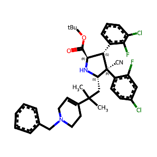 CC(C)(C)OC(=O)[C@@H]1N[C@@H](CC(C)(C)C2=CCN(Cc3ccccc3)CC2)[C@](C#N)(c2ccc(Cl)cc2F)[C@H]1c1cccc(Cl)c1F